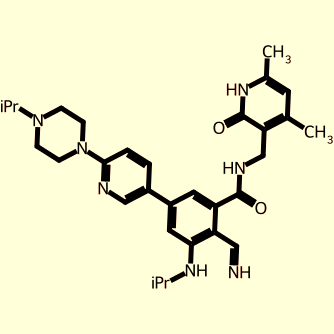 Cc1cc(C)c(CNC(=O)c2cc(-c3ccc(N4CCN(C(C)C)CC4)nc3)cc(NC(C)C)c2C=N)c(=O)[nH]1